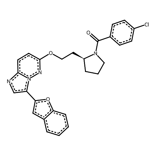 O=C(c1ccc(Cl)cc1)N1CCC[C@H]1CCOc1ccc2ncc(-c3cc4ccccc4o3)n2n1